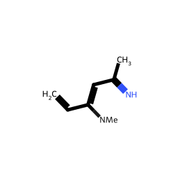 C=C/C(=C/C(C)=N)NC